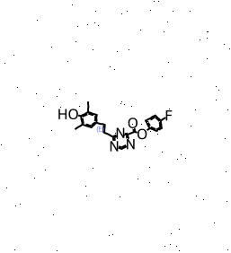 Cc1cc(/C=C/c2ncnc(C(=O)Oc3ccc(F)cc3)n2)cc(C)c1O